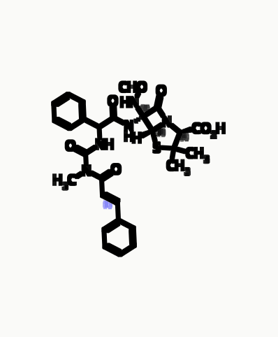 CN(C(=O)/C=C/c1ccccc1)C(=O)NC(C(=O)N[C@]1(NC=O)C(=O)N2[C@@H](C(=O)O)C(C)(C)S[C@@H]21)c1ccccc1